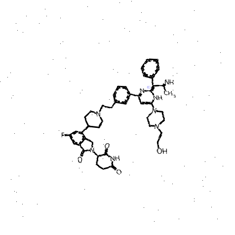 CC(=N)/C(=C1/N=C(c2cccc(CCN3CCC(c4cc(F)cc5c4CN(C4CCC(=O)NC4=O)C5=O)CC3)c2)C=C(N2CCN(CCO)CC2)N1)c1ccccc1